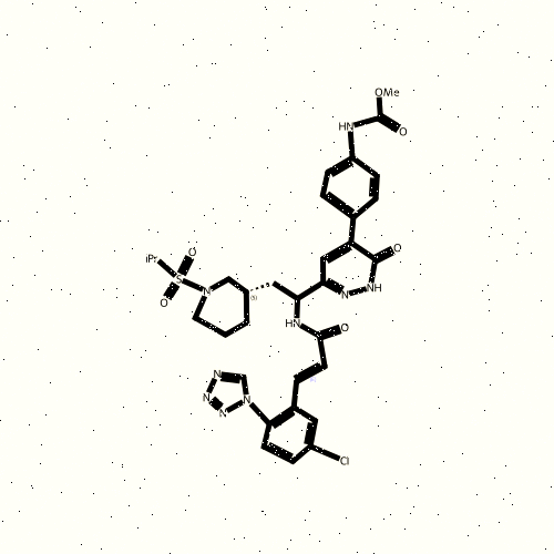 COC(=O)Nc1ccc(-c2cc(C(C[C@@H]3CCCN(S(=O)(=O)C(C)C)C3)NC(=O)/C=C/c3cc(Cl)ccc3-n3cnnn3)n[nH]c2=O)cc1